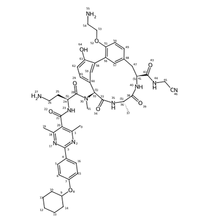 Cc1nc(-c2ccc(OC3CCCCC3)cc2)nc(C)c1C(=O)N[C@@H](CCN)C(=O)N(C)[C@@H]1C(=O)N[C@@H](C)C(=O)N[C@H](C(=O)NCC#N)Cc2ccc(OCCN)c(c2)-c2cc1ccc2O